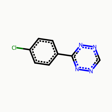 Clc1ccc(-c2nncnn2)cc1